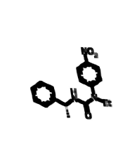 CCN(C(=O)N[C@H](C)c1ccccc1)c1ccc([N+](=O)[O-])cc1